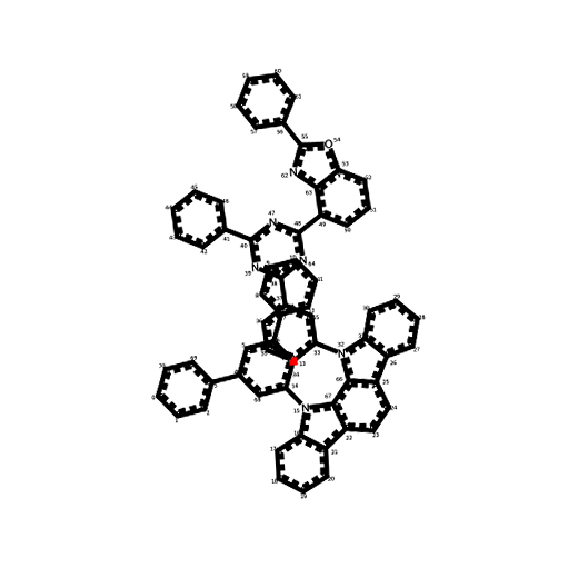 c1ccc(-c2cc(-c3ccccc3)cc(-n3c4ccccc4c4ccc5c6ccccc6n(-c6cccc(-c7nc(-c8ccccc8)nc(-c8cccc9oc(-c%10ccccc%10)nc89)n7)c6)c5c43)c2)cc1